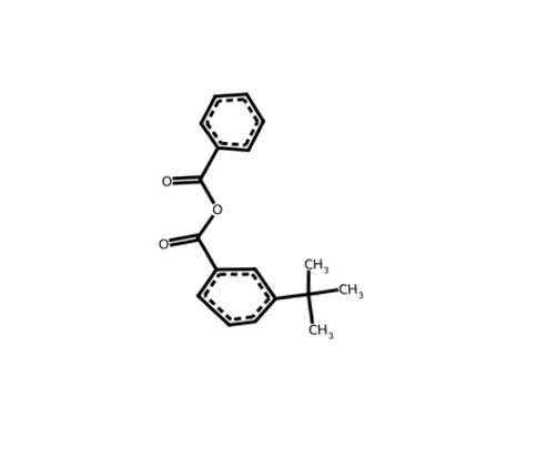 CC(C)(C)c1cccc(C(=O)OC(=O)c2ccccc2)c1